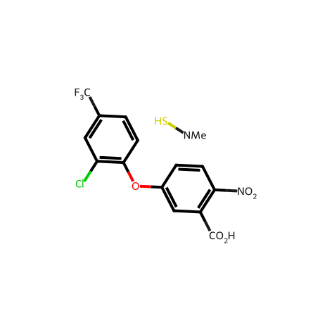 CNS.O=C(O)c1cc(Oc2ccc(C(F)(F)F)cc2Cl)ccc1[N+](=O)[O-]